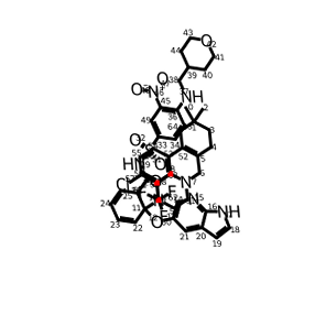 CC1(C)CCC(CN2CCN(C3(Oc4cnc5[nH]ccc5c4)C=CC=CC3C(=O)NS(=O)(=O)c3ccc(NCC4CCOCC4)c([N+](=O)[O-])c3)CC2)=C(c2ccc(Cl)c(C(F)(F)F)c2)C1